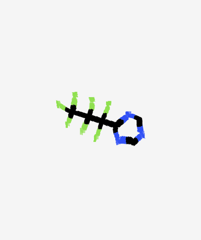 FC(F)(F)C(F)(F)C(F)(F)c1ncncn1